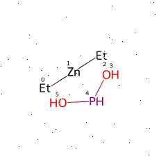 C[CH2][Zn][CH2]C.OPO